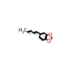 C/C=C/C=C/c1ccc2c(c1)OCO2